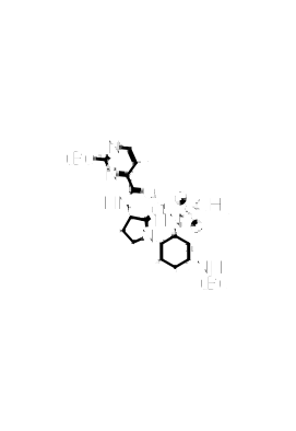 CC(C)(C)N[C@@H]1CC[C@H](N2CC[C@H](NC(=O)c3ccnc(C(C)(C)C)n3)C2=O)[C@@H](NS(C)(=O)=O)C1